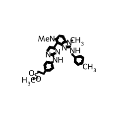 CNc1ccc2c(nc(NCc3ccc(C)cc3)n2C)c1-c1ccnc(Nc2ccc(CCS(C)(=O)=O)cc2)n1